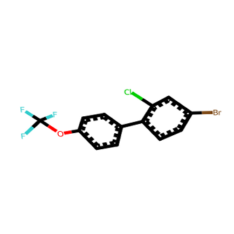 FC(F)(F)Oc1ccc(-c2ccc(Br)cc2Cl)cc1